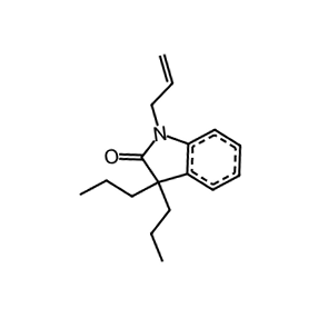 C=CCN1C(=O)C(CCC)(CCC)c2ccccc21